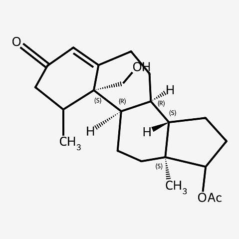 CC(=O)OC1CC[C@H]2[C@@H]3CCC4=CC(=O)CC(C)[C@]4(CO)[C@@H]3CC[C@]12C